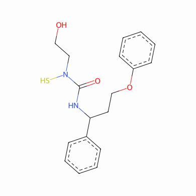 O=C(NC(CCOc1ccccc1)c1ccccc1)N(S)CCO